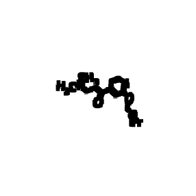 CC(C)OCOc1cc(C(=O)CCN(C)C)ccn1